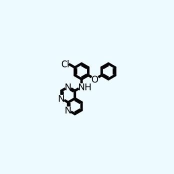 Clc1ccc(Oc2ccccc2)c(Nc2ncnc3ncccc23)c1